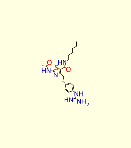 CCCCCCNC(=O)c1sc(NC(C)=O)nc1CCc1ccc(NC(=N)N)cc1